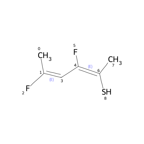 C/C(F)=C\C(F)=C(\C)S